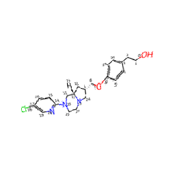 OCCc1ccc(OC[C@H]2C[C@H]3CN(c4ccc(Cl)cn4)CCN3C2)cc1